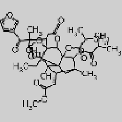 CCC12OC3OC14C(C(C)(C)C(=O)c1ccoc1)CC(=O)OC4C1(OC(=O)C(C)C)C(OC(=O)C(C)C)C4(C)CC1(O3)C2(C)C4CC(=O)OC